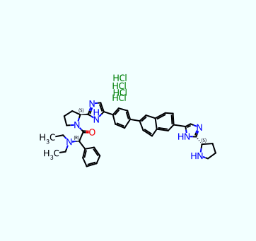 CCN(CC)[C@@H](C(=O)N1CCC[C@H]1c1ncc(-c2ccc(-c3ccc4cc(-c5cnc([C@@H]6CCCN6)[nH]5)ccc4c3)cc2)[nH]1)c1ccccc1.Cl.Cl.Cl.Cl